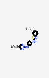 CSc1cnc(N[C@H]2CC[C@H](Nc3nc4ccc(C(=O)O)cc4s3)C2)nc1